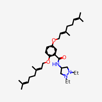 CCN1CC(NC(=O)c2cc(OC/C=C(\C)CCC=C(C)C)ccc2OC/C=C(\C)CCC=C(C)C)CN1CC